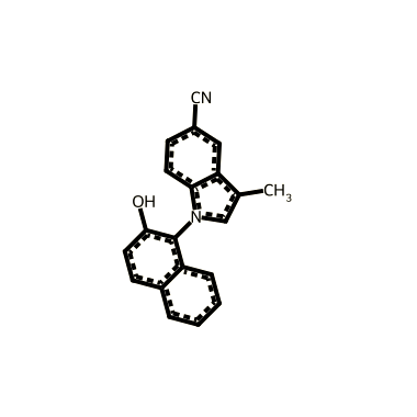 Cc1cn(-c2c(O)ccc3ccccc23)c2ccc(C#N)cc12